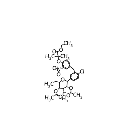 CCOC(=O)C(C)(C)Oc1ccc(Cc2cc(C3O[C@H](CC)C(OC(C)=O)C(C)C3OC(C)=O)ccc2Cl)cc1[N+](=O)[O-]